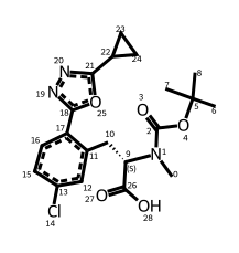 CN(C(=O)OC(C)(C)C)[C@@H](Cc1cc(Cl)ccc1-c1nnc(C2CC2)o1)C(=O)O